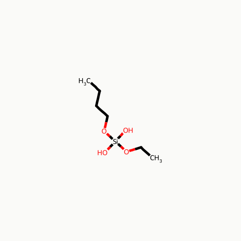 CCCCO[Si](O)(O)OCC